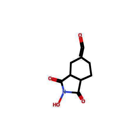 O=C=C1CCC2C(=O)N(O)C(=O)C2C1